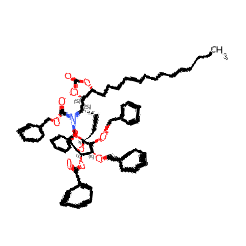 CCCCCCCCCCCCCCC1OC(=O)O[C@H]1[C@H](CC[C@]12OCC(O1)[C@H](OC(=O)c1ccccc1)[C@H](OCc1ccccc1)C2OCc1ccccc1)N(Cc1ccccc1)C(=O)OCc1ccccc1